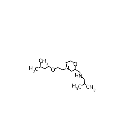 CC(C)CCOCCN1CCOC(CNCC(C)C)C1